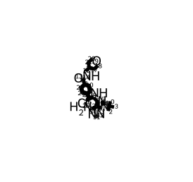 CC(C)(C)n1nc(-c2[nH]c3cc(C(=O)NCC4CCOCC4)ccc3c2Cl)c2c(N)ncnc21